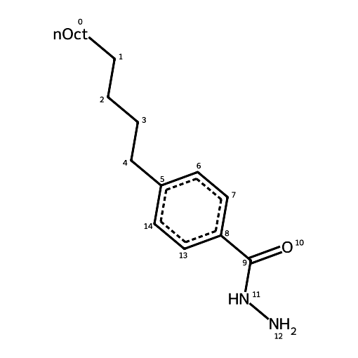 CCCCCCCCCCCCc1ccc(C(=O)NN)cc1